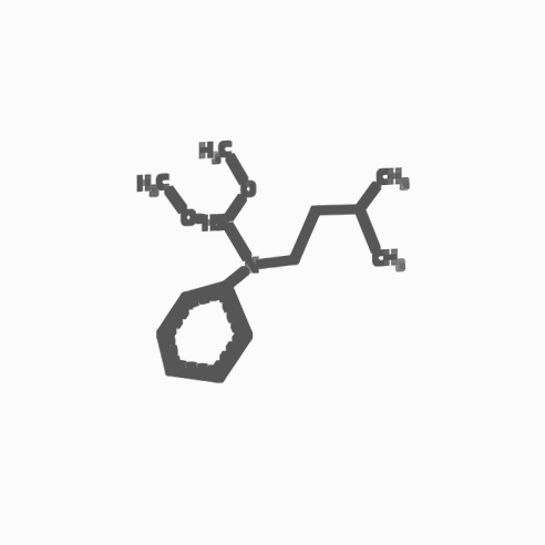 CO[SiH](OC)N(CCC(C)C)c1ccccc1